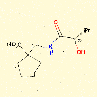 CC(C)[C@H](O)C(=O)NCC1(C(=O)O)CCCC1